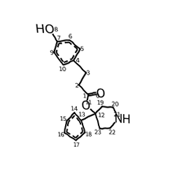 O=C(CCc1ccc(O)cc1)OC1(c2ccccc2)CCNCC1